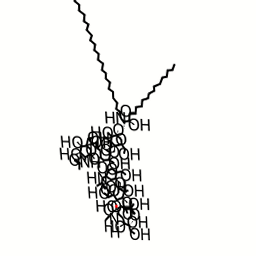 CCCCCCCCCCCCC/C=C/[C@@H](O)[C@H](CO[C@@H]1OC(CO)[C@@H](O[C@@H]2OC(CO)[C@H](O[C@@H]3OC(CO)[C@H](O)[C@H](O)C3NC(C)=O)[C@H](O[C@@H]3OC(CO)[C@@H](O[C@@H]4OC(CO)[C@H](O)[C@H](O[C@]5(C(=O)O)CC(O)[C@@H](NC(C)=O)C([C@H](O)[C@H](O)CO)O5)C4O)[C@H](O)C3NC(C)=O)C2O)[C@H](O)C1O)NC(=O)CCCCCCCCCCCCCCCCCCCCCCCCC